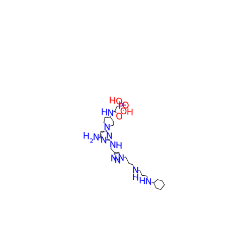 Nc1cc(N2CCC(NC(=O)CP(=O)(O)O)CC2)nc(NCc2cn(CCCNCCCNC3CCCCC3)nn2)n1